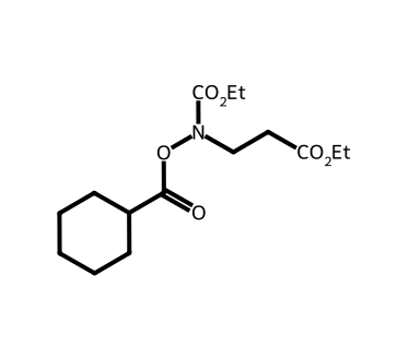 CCOC(=O)CCN(OC(=O)C1CCCCC1)C(=O)OCC